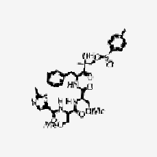 COCC(NC(=O)c1cnc(C)s1)C(=O)NC(COC)C(=O)NC(Cc1ccccc1)C(=O)C(C)(O)COS(=O)c1ccc(C)cc1